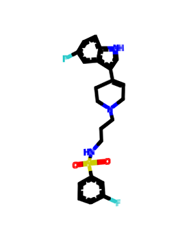 O=S(=O)(NCCCN1CC=C(c2c[nH]c3ccc(F)cc23)CC1)c1cccc(F)c1